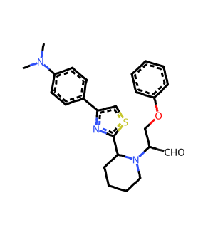 CN(C)c1ccc(-c2csc(C3CCCCN3C(C=O)COc3ccccc3)n2)cc1